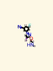 CNCCOc1nn(-c2cc(F)cc(C#N)c2)cc1I